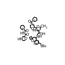 C=CC[C@H](NC(=O)C1CN(C(=O)N2CCCCC2)CCO1)[C@H](O)CN[C@H]1CC2(CCC2)Oc2ncc(CC(C)(C)C)cc21.O=C(NC(=O)N1CCCCC1)[C@@H]1CNCCO1